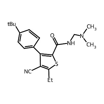 CCc1sc(C(=O)NCN(C)C)c(-c2ccc(C(C)(C)C)cc2)c1C#N